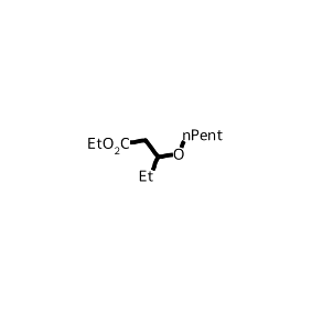 CCCCCOC(CC)CC(=O)OCC